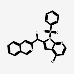 O=S(=O)(c1ccccc1)n1c(C(Cl)c2cc3ccccc3cn2)cc2c(Cl)ccnc21